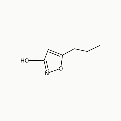 CCCc1cc(O)no1